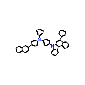 c1ccc(-c2cc3c(c4ccccc24)c2ccccc2n3-c2ccc(N(c3ccccc3)c3ccc(-c4ccc5ccccc5c4)cc3)cc2)cc1